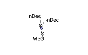 CCCCCCCCCCCCCCC(CCCCCCCCCCCCCC)O/N=C/CCOCCOC